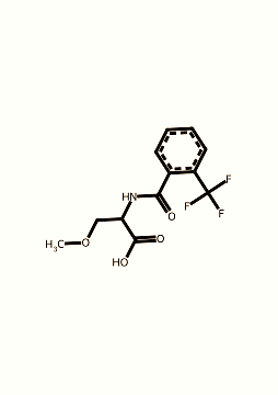 COCC(NC(=O)c1ccccc1C(F)(F)F)C(=O)O